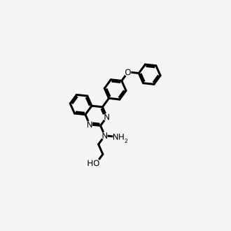 NN(CCO)c1nc(-c2ccc(Oc3ccccc3)cc2)c2ccccc2n1